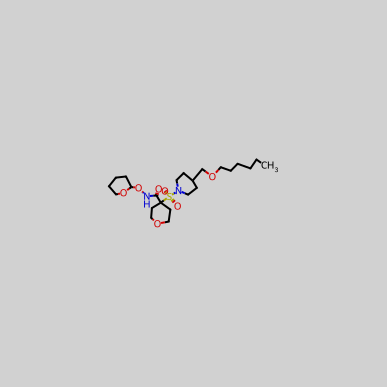 CCCCCCOCC1CCN(S(=O)(=O)C2(C(=O)NOC3CCCCO3)CCOCC2)CC1